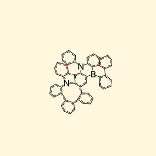 c1ccc(-c2ccccc2B2c3ccccc3N(c3ccccc3)c3c2cc2c4ccccc4c4ccccc4c4ccccc4n4c5ccccc5c3c24)cc1